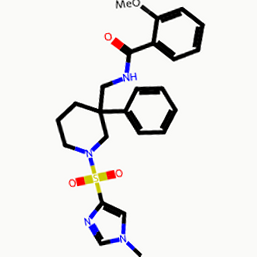 COc1ccccc1C(=O)NCC1(c2ccccc2)CCCN(S(=O)(=O)c2cn(C)cn2)C1